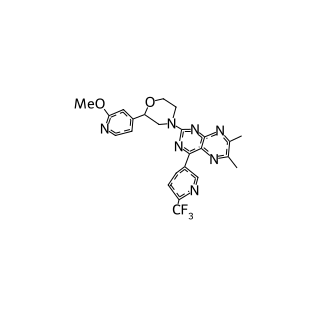 COc1cc(C2CN(c3nc(-c4ccc(C(F)(F)F)nc4)c4nc(C)c(C)nc4n3)CCO2)ccn1